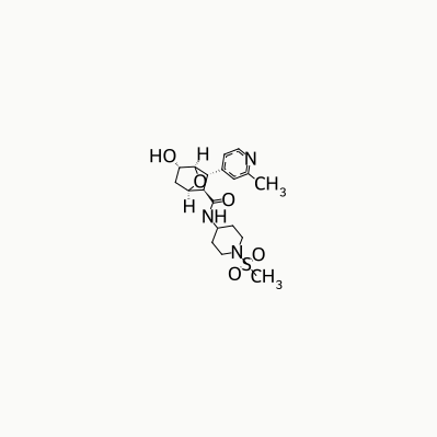 Cc1cc([C@H]2[C@H]3O[C@H](C[C@@H]3O)[C@@H]2C(=O)NC2CCN(S(C)(=O)=O)CC2)ccn1